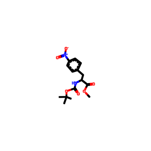 COC(=O)C(Cc1ccc([N+](=O)[O-])cc1)NC(=O)OC(C)(C)C